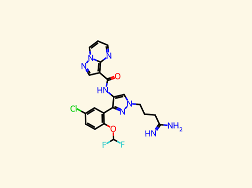 N=C(N)CCCn1cc(NC(=O)c2cnn3cccnc23)c(-c2cc(Cl)ccc2OC(F)F)n1